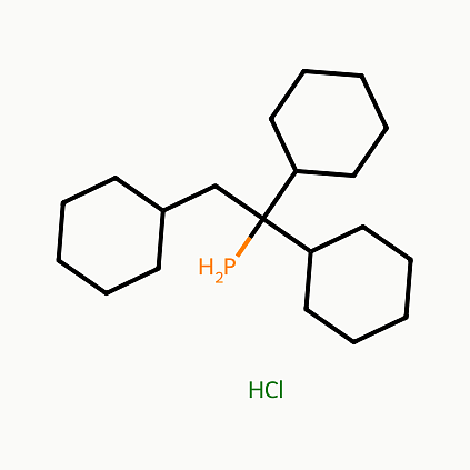 Cl.PC(CC1CCCCC1)(C1CCCCC1)C1CCCCC1